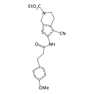 CCOC(=O)N1CCc2c(sc(NC(=O)CCc3ccc(OC)cc3)c2C#N)C1